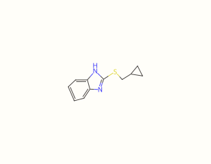 c1ccc2[nH]c(SCC3CC3)nc2c1